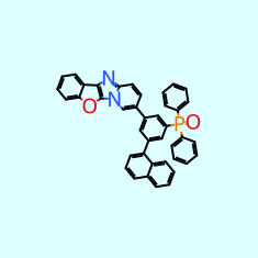 O=P(c1ccccc1)(c1ccccc1)c1cc(-c2ccc3nc4c5ccccc5oc4n3c2)cc(-c2cccc3ccccc23)c1